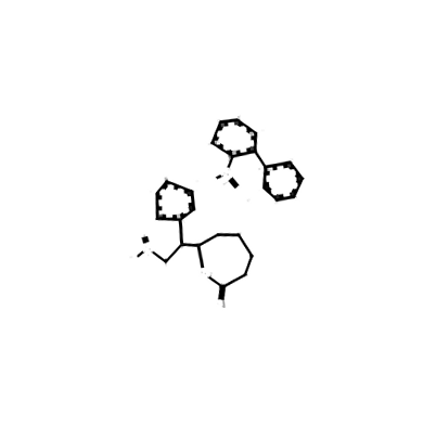 N=C1CCCCC(C(C[N+](=O)[O-])c2ccccc2)N1.O=[N+]([O-])c1ccccc1-c1ccccc1